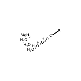 O.O.O.O.O.O.[Cl][K].[MgH2]